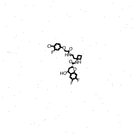 O=C(COc1ccc(Cl)c(F)c1)NCCC1(NC(=O)[C@H]2C[C@@H](O)c3cc(F)c(F)cc3O2)CCC1